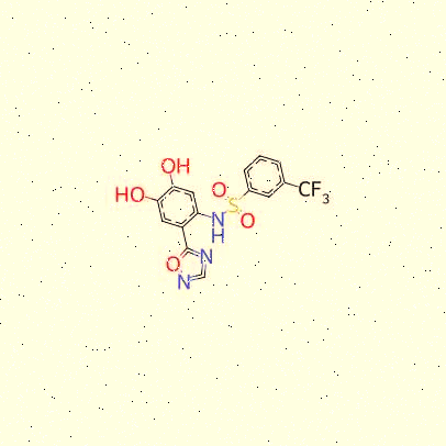 O=S(=O)(Nc1cc(O)c(O)cc1-c1ncno1)c1cccc(C(F)(F)F)c1